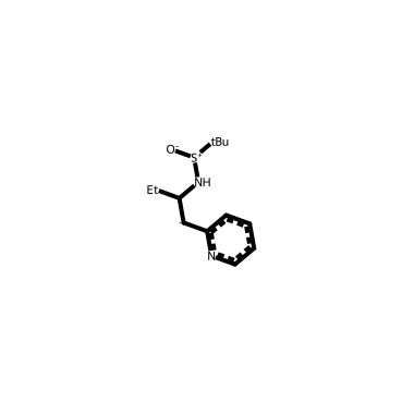 CCC([CH]c1ccccn1)N[S+]([O-])C(C)(C)C